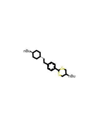 CCCCC1CSC(c2ccc(CC[C@H]3CC[C@H](CCCC)CC3)cc2)SC1